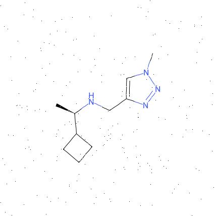 C[C@@H](NCc1cn(C)nn1)C1CCC1